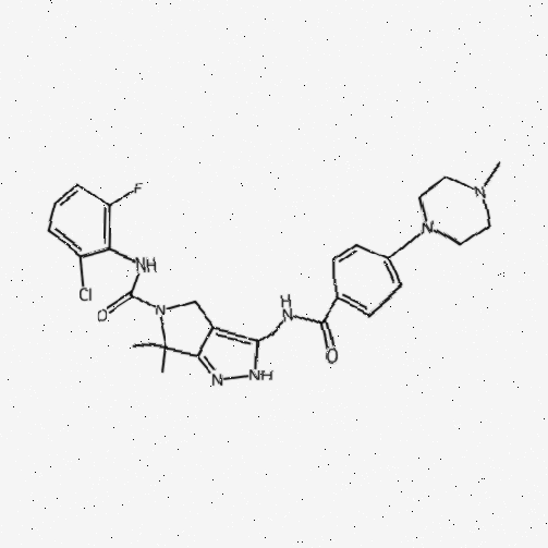 CN1CCN(c2ccc(C(=O)Nc3[nH]nc4c3CN(C(=O)Nc3c(F)cccc3Cl)C4(C)C)cc2)CC1